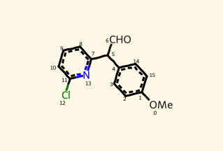 COc1ccc(C(C=O)c2cccc(Cl)n2)cc1